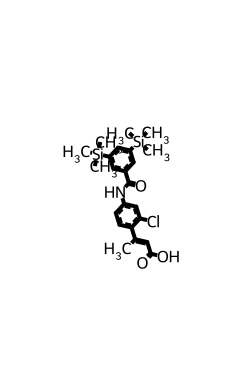 CC(=CC(=O)O)c1ccc(NC(=O)c2cc([Si](C)(C)C)cc([Si](C)(C)C)c2)cc1Cl